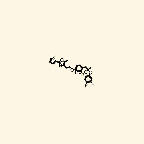 Cc1oc(-c2cccs2)nc1CCOc1ccc(CC(C)(Oc2ccc(F)c(F)c2)C(=O)O)cc1